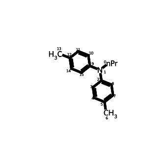 CCCN(c1ccc(C)cc1)c1ccc(C)cc1